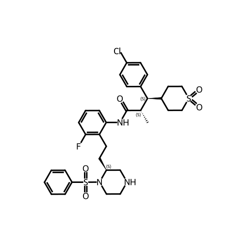 C[C@H](C(=O)Nc1cccc(F)c1CC[C@H]1CNCCN1S(=O)(=O)c1ccccc1)[C@@H](c1ccc(Cl)cc1)C1CCS(=O)(=O)CC1